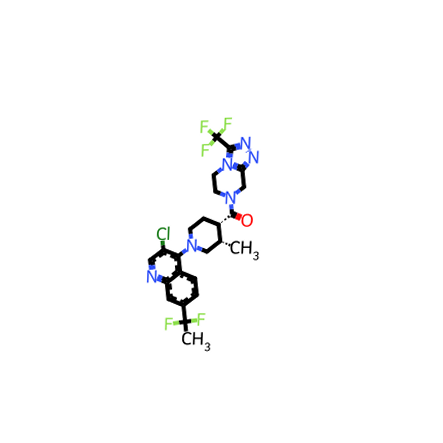 C[C@@H]1CN(c2c(Cl)cnc3cc(C(C)(F)F)ccc23)CC[C@@H]1C(=O)N1CCn2c(nnc2C(F)(F)F)C1